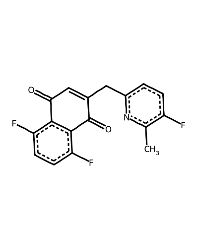 Cc1nc(CC2=CC(=O)c3c(F)ccc(F)c3C2=O)ccc1F